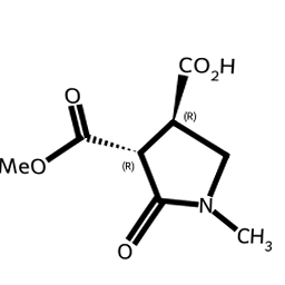 COC(=O)[C@H]1C(=O)N(C)C[C@@H]1C(=O)O